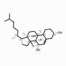 CC(C)CCC[C@@H](C)[C@H]1CC[C@H]2[C@@H]3[C@@H](O)C=C4C[C@@H](O)CC[C@]4(C)[C@H]3CC[C@]12C